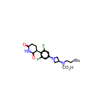 CC(C)(C)CCN(C(=O)O)C1CN(c2cc(F)c(C3CCC(=O)NC3=O)c(F)c2)C1